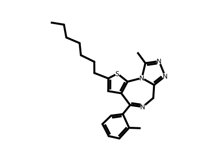 CCCCCCCc1cc2c(s1)-n1c(C)nnc1CN=C2c1ccccc1C